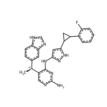 C[C@@H](c1ccc2[nH]cnc2c1)c1cnc(N)nc1Nc1cc(C2CC2c2ccccc2F)[nH]n1